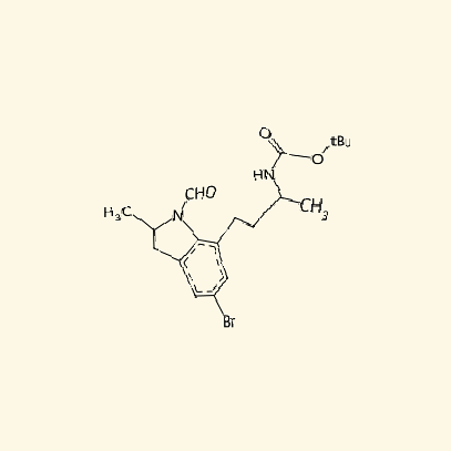 CC(CCc1cc(Br)cc2c1N(C=O)C(C)C2)NC(=O)OC(C)(C)C